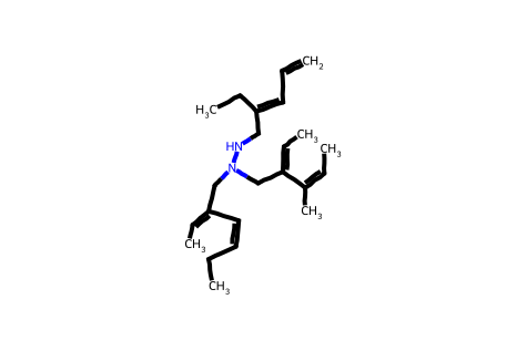 C=C/C=C(\CC)CNN(CC(/C=C\CC)=C/C)CC(=C/C)/C(C)=C\C